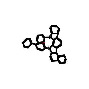 c1ccc(-c2ccc(-n3c4ccc5ccccc5c4c4ccc5c6ccccc6n(-c6ccccc6)c5c43)cc2)cc1